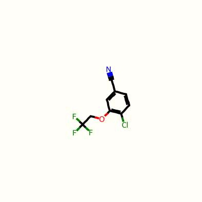 N#Cc1ccc(Cl)c(OCC(F)(F)F)c1